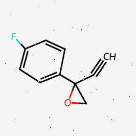 C#CC1(c2ccc(F)cc2)CO1